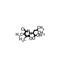 Cc1c(Cl)nn(C(CC(C)C)C(=O)O)c(=O)c1C